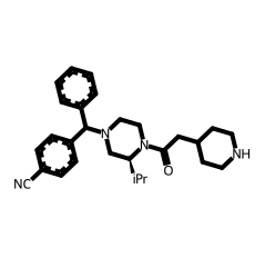 CC(C)[C@H]1CN(C(c2ccccc2)c2ccc(C#N)cc2)CCN1C(=O)CC1CCNCC1